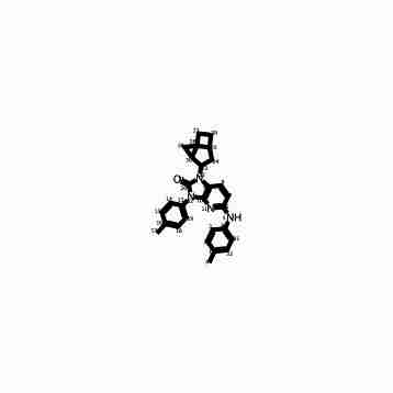 Cc1ccc(Nc2ccc3c(n2)n(-c2ccc(C)cc2)c(=O)n3C2CC3CCC34CC24)cc1